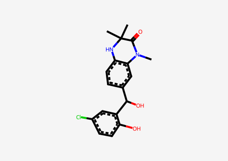 CN1C(=O)C(C)(C)Nc2ccc(C(O)c3cc(Cl)ccc3O)cc21